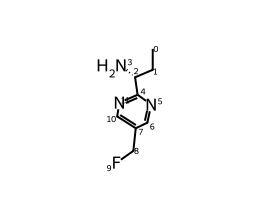 CC[C@@H](N)c1ncc(CF)cn1